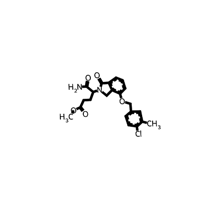 COC(=O)CCC(C(N)=O)N1Cc2c(OCc3ccc(Cl)c(C)c3)cccc2C1=O